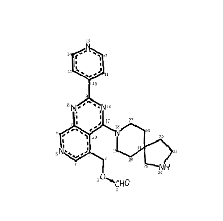 O=COCc1cncc2nc(-c3ccncc3)nc(N3CCC4(CCNC4)CC3)c12